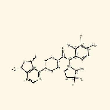 C[C@@H]1C[C@@H](O)c2ncnc(N3CCN(C(=O)[C@@H](c4ccc(C(F)(F)F)c(F)c4F)[C@@H]4CCC(C)(C)N4C)CC3)c21